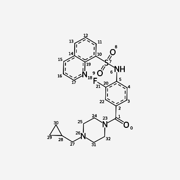 O=C(c1ccc(NS(=O)(=O)c2cccc3cccnc23)c(F)c1)N1CCN(CC2CC2)CC1